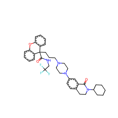 O=C1c2cc(N3CCN(CCCC4(C(=O)NCC(F)(F)F)c5ccccc5Oc5ccccc54)CC3)ccc2CCN1C1CCCCC1